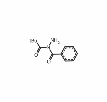 CC(C)(C)C(=O)N(N)C(=O)c1ccccc1